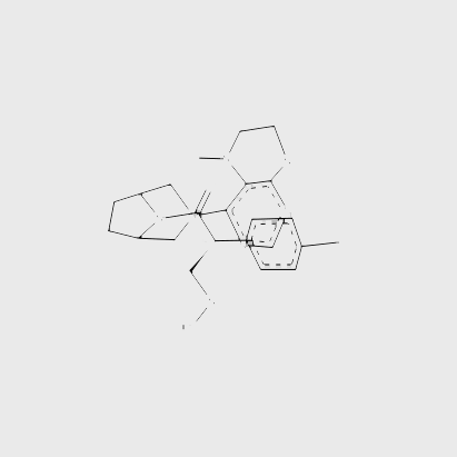 CC(C)NC[C@@H](C(=O)N1C2CCC1CN(c1ncnc3c1N(C)CCN3)C2)c1ccc(Cl)cc1